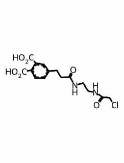 O=C(CCl)NCCNC(=O)CCc1ccc(C(=O)O)c(C(=O)O)c1